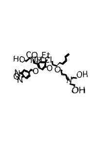 C=C/C=C\C[C@@H](OCCCCN(CCO)CCO)C(C)Oc1cc(OCc2ccc3nonc3c2)c(CN[C@H](CO)C(=O)OCC)cc1Cl